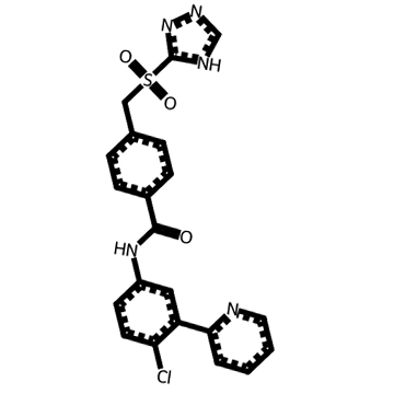 O=C(Nc1ccc(Cl)c(-c2ccccn2)c1)c1ccc(CS(=O)(=O)c2nnc[nH]2)cc1